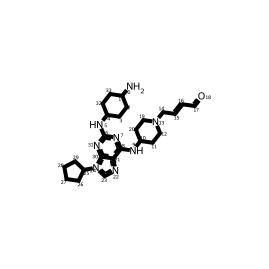 NC1CCC(Nc2nc(NC3CCN(CC=CC=O)CC3)c3ncn(C4CCCC4)c3n2)CC1